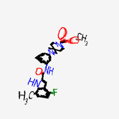 COC(=O)N1CCC2(CC1)CN(c1cccc(NC(=O)C3Cc4c(F)ccc(C)c4N3)c1)C2